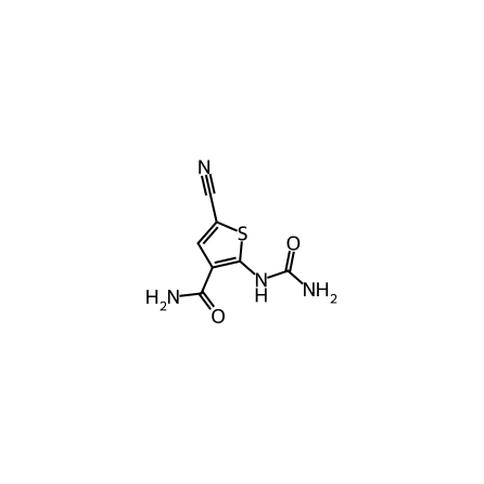 N#Cc1cc(C(N)=O)c(NC(N)=O)s1